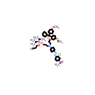 C=[N+]([O-])c1ccc(N=Nc2ccc(N(CCCOP(OCCC#N)N(C(C)C)C(C)C)CCCOC(c3ccccc3)(c3ccc(OC)cc3)c3ccc(OC)cc3)cc2)c(Cl)c1